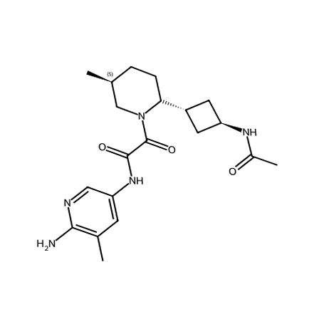 CC(=O)N[C@H]1C[C@H](C2CC[C@H](C)CN2C(=O)C(=O)Nc2cnc(N)c(C)c2)C1